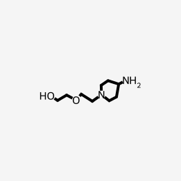 NC1CCN(CCOCCO)CC1